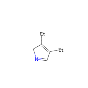 CCC1=C(CC)CN=C1